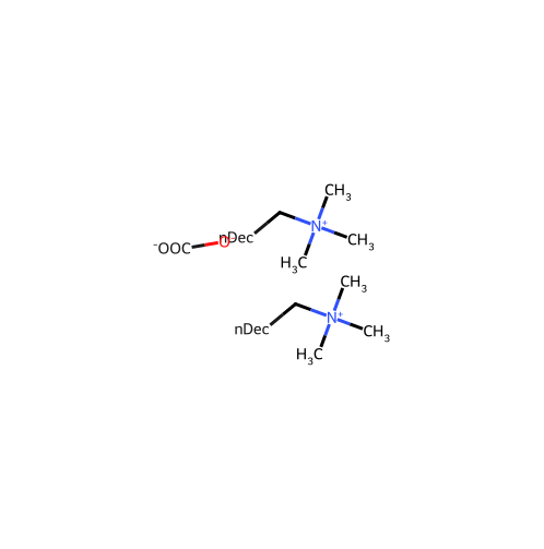 CCCCCCCCCCC[N+](C)(C)C.CCCCCCCCCCC[N+](C)(C)C.O=C([O-])[O-]